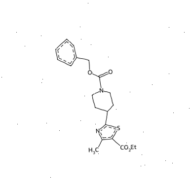 CCOC(=O)c1sc(C2CCN(C(=O)OCc3ccccc3)CC2)nc1C